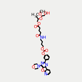 CCC(COC(=O)CCCC(=O)NCCCCOC(=O)Oc1cccc(-c2nc(N3CCOCC3)c3oc4ncccc4c3n2)c1)OC(CO)OC